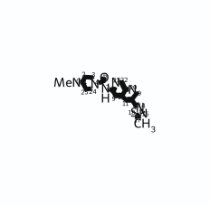 CNC1CCN(C(=O)Nc2cc3cc(-c4nnc(C)s4)cnc3cn2)CC1